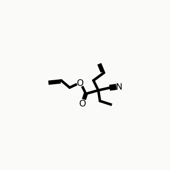 C=CCOC(=O)C(C#N)(CC)CC=C